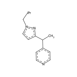 CC(C)Cn1ccc(C(C)c2ccncc2)n1